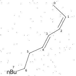 C/C=C\C=C\CCCCCC